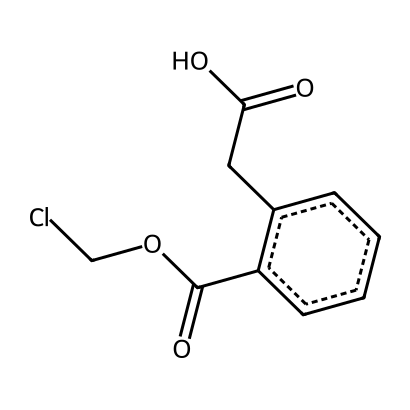 O=C(O)Cc1ccccc1C(=O)OCCl